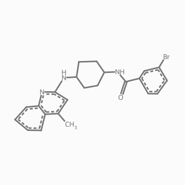 Cc1cc(NC2CCC(NC(=O)c3cccc(Br)c3)CC2)nc2ccccc12